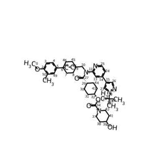 COc1ccc(C23CCC(CN(c4cc(-c5cnn(C(C)(C)C)c5)ccn4)C(=O)[C@H]4CC[C@H](OC(=O)N5CCC(O)CC5)CC4)(CC2)CC3)cc1C